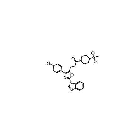 CS(=O)(=O)C1CCN(C(=O)CCc2oc(-n3cnc4ccccc43)nc2-c2ccc(Cl)cc2)CC1